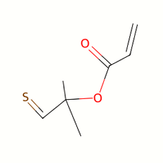 C=CC(=O)OC(C)(C)C=S